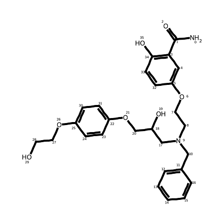 NC(=O)c1cc(OCCN(Cc2ccccc2)CC(O)COc2ccc(OCCO)cc2)ccc1O